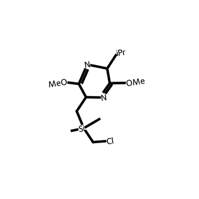 COC1=NC(C(C)C)C(OC)=NC1C[Si](C)(C)CCl